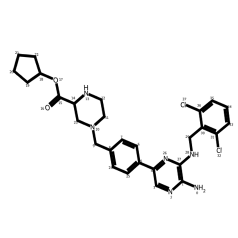 Nc1ncc(-c2ccc(CN3CCNC(C(=O)OC4CCCC4)C3)cc2)nc1NCc1c(Cl)cccc1Cl